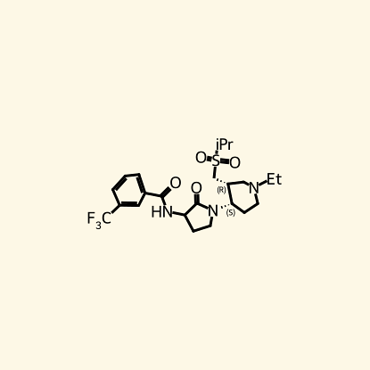 CCN1CC[C@H](N2CCC(NC(=O)c3cccc(C(F)(F)F)c3)C2=O)[C@H](CS(=O)(=O)C(C)C)C1